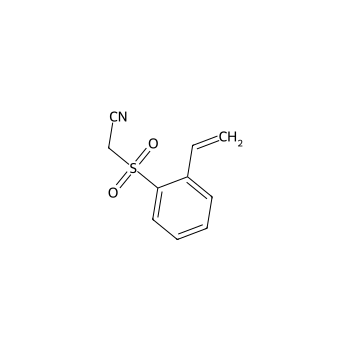 C=Cc1ccccc1S(=O)(=O)CC#N